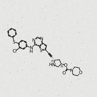 O=C(O[C@H]1CN[C@H](C#Cc2cc3ncnc(Nc4ccc(Sc5ccccc5)c(Cl)c4)c3s2)C1)N1CCOCC1